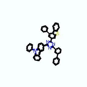 c1ccc(-c2cccc(-c3nc(-c4cc(-c5ccccc5)c5c(c4)sc4ccccc45)nc(-c4ccc5c(c4)c4ccccc4n5-c4ccccc4)n3)c2)cc1